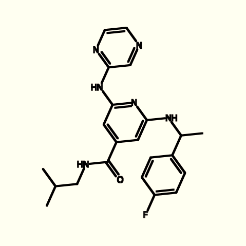 CC(C)CNC(=O)c1cc(Nc2cnccn2)nc(NC(C)c2ccc(F)cc2)c1